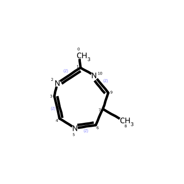 CC1=N/C=C\N=C/C(C)/C=N\1